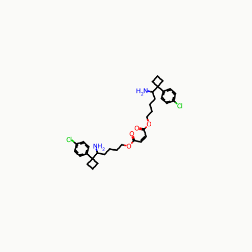 NC(CCCCOC(=O)/C=C\C(=O)OCCCCC(N)C1(c2ccc(Cl)cc2)CCC1)C1(c2ccc(Cl)cc2)CCC1